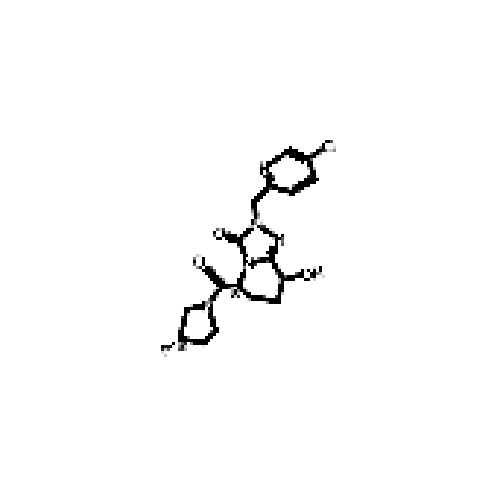 O=C([C@@H]1CCC(O)c2nn(Cc3ccc(Cl)cn3)c(=O)n21)N1CC[C@H](F)C1